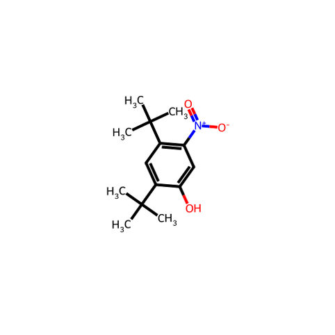 CC(C)(C)c1cc(C(C)(C)C)c([N+](=O)[O-])cc1O